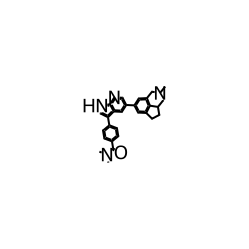 CN1Cc2cc(-c3cnc4[nH]cc(-c5ccc(C(=O)N(C)C)cc5)c4c3)cc3c2C(CC3)C1